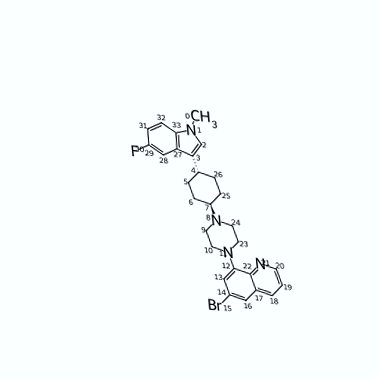 Cn1cc([C@H]2CC[C@H](N3CCN(c4cc(Br)cc5cccnc45)CC3)CC2)c2cc(F)ccc21